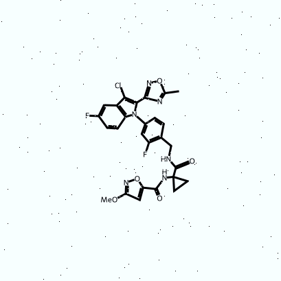 COc1cc(C(=O)NC2(C(=O)NCc3ccc(-n4c(-c5noc(C)n5)c(Cl)c5cc(F)ccc54)cc3F)CC2)on1